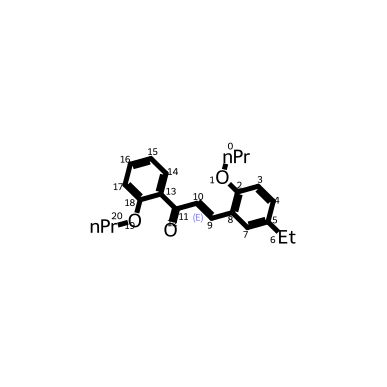 CCCOc1ccc(CC)cc1/C=C/C(=O)c1ccccc1OCCC